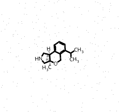 CC(C)c1cccc2c1CO[C@@]1(C)CNC[C@@H]21